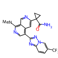 CNc1ncc(-c2nc3ccc(C(F)(F)F)cn3n2)c2cc(C3(C(N)=O)CC3)ncc12